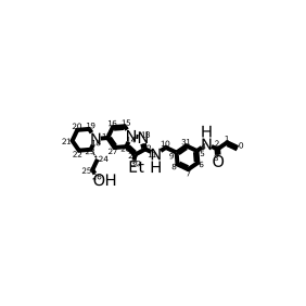 C=CC(=O)Nc1cccc(CNc2nn3ccc(N4CCCC[C@H]4CCO)cc3c2CC)c1